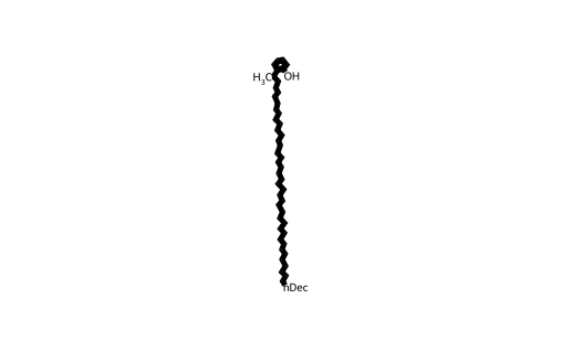 CCCCCCCCCCCCCCCCCCCCCCCCCCCCCCCCCCCCCCCCCCCCCCCCC(C)c1ccccc1O